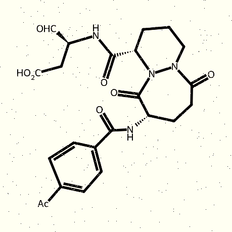 CC(=O)c1ccc(C(=O)N[C@H]2CCC(=O)N3CCC[C@@H](C(=O)N[C@H](C=O)CC(=O)O)N3C2=O)cc1